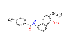 Cc1cc(C(=O)Nc2cccc3c(O)c(S(=O)(=O)O)ccc23)ccc1[N+](=O)[O-]